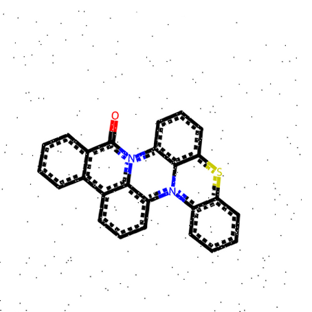 O=c1c2ccccc2c2cccc3c2n1c1cccc2sc4ccccc4n3-c21